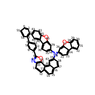 c1ccc(-c2ccc(-c3nc4ccc5ccc6ccc(N(c7ccc8c(c7)oc7ccccc78)c7ccc8c(c7)oc7ccccc78)cc6c5c4o3)cc2)cc1